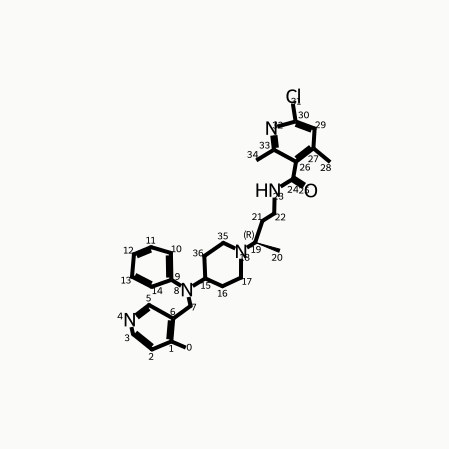 Cc1ccncc1CN(c1ccccc1)C1CCN([C@H](C)CCNC(=O)c2c(C)cc(Cl)nc2C)CC1